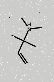 C=CC(C)(C)[SiH](C)C